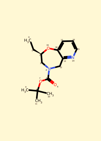 CC[C@@H]1CN(C(=O)OC(C)(C)C)Cc2ncccc2O1